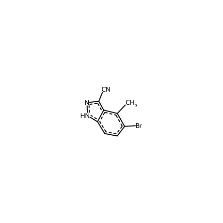 Cc1c(Br)ccc2[nH]nc(C#N)c12